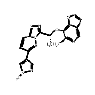 C[C@@H](Oc1c(N)ncc2ccoc12)c1nnc2ccc(-c3cnn(C)c3)nn12